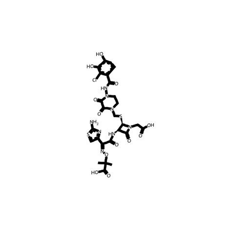 CC(C)(O/N=C(\C(=O)N[C@@H]1C(=O)N(CC(=O)O)[C@@H]1SCN1CCN(NC(=O)c2ccc(O)c(O)c2Cl)C(=O)C1=O)c1csc(N)n1)C(=O)O